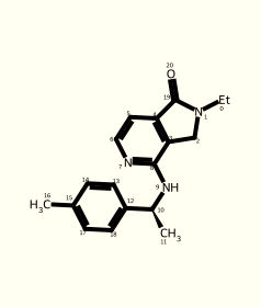 CCN1Cc2c(ccnc2N[C@@H](C)c2ccc(C)cc2)C1=O